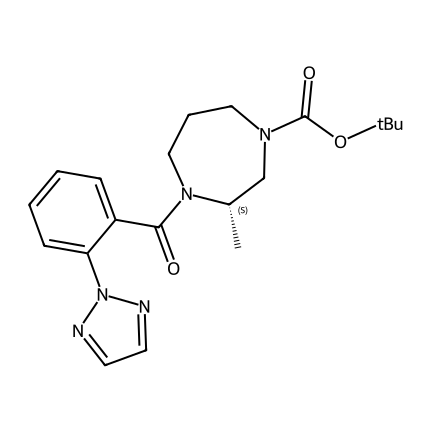 C[C@H]1CN(C(=O)OC(C)(C)C)CCCN1C(=O)c1ccccc1-n1nccn1